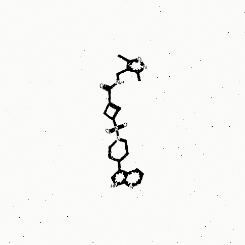 Cc1noc(C)c1CNC(=O)C1CC(S(=O)(=O)N2CCC(c3c[nH]c4ncccc34)CC2)C1